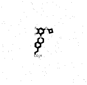 O=C(O)CCc1ccc2c(c1)CCN(c1cc(OC3CCC3)cc(F)c1F)C2